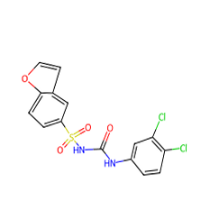 O=C(Nc1ccc(Cl)c(Cl)c1)NS(=O)(=O)c1ccc2occc2c1